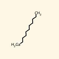 CCCCCCCCC[CH2][GaH2]